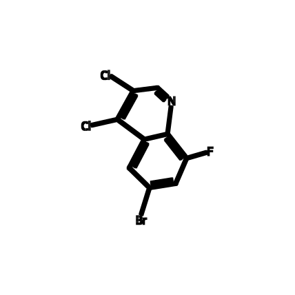 Fc1cc(Br)cc2c(Cl)c(Cl)cnc12